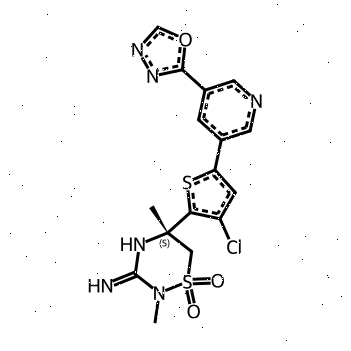 CN1C(=N)N[C@](C)(c2sc(-c3cncc(-c4nnco4)c3)cc2Cl)CS1(=O)=O